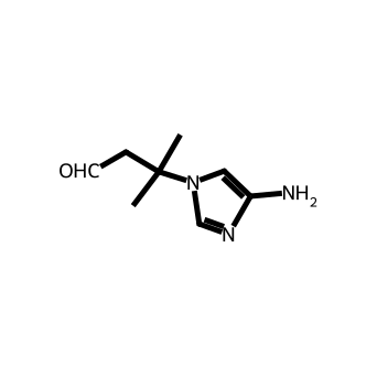 CC(C)(CC=O)n1cnc(N)c1